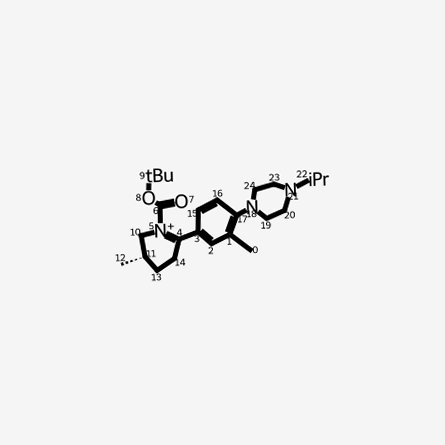 Cc1cc(C2=[N+](C(=O)OC(C)(C)C)C[C@@H](C)CC2)ccc1N1CCN(C(C)C)CC1